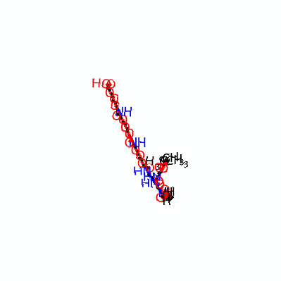 C[Si](C)(C)CCOC(=O)CCCNC(=O)C(CCCCNC(=O)CCOCCOCCOCCNC(=O)CCOCCOCCOCCC(=O)NCCOCCOCCOCCC(=O)O)NC(=O)CCCN1C(=O)C2[C@@H](C1=O)[C@@H]1C=C[C@H]2O1